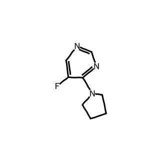 Fc1cncnc1N1CCCC1